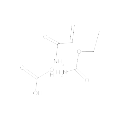 C=CC(N)=O.CCOC(N)=O.O=C(O)O